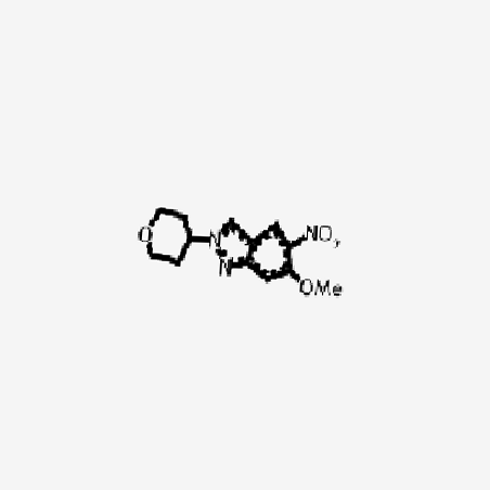 COc1cc2nn(C3CCOCC3)cc2cc1[N+](=O)[O-]